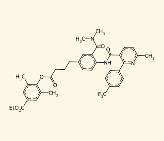 CCOC(=O)c1cc(C)c(OC(=O)CCCc2ccc(NC(=O)c3ccc(C)nc3-c3ccc(C(F)(F)F)cc3)c(C(=O)N(C)C)c2)c(C)c1